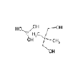 CC(C)(CO)CO.OP(O)O